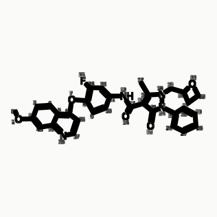 COc1ccc2c(Oc3ccc(NC(=O)c4c(C)n(CC5CCO5)n(-c5ccccc5)c4=O)cc3F)ccnc2c1